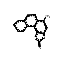 Nc1cc2sc(=O)oc2c2c1ccc1ccccc12